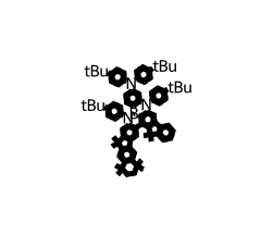 CC(C)(C)c1ccc(N2B3c4ccc(N(c5ccc(C(C)(C)C)cc5)c5ccc(C(C)(C)C)cc5)cc4N(c4ccc(C(C)(C)C)cc4)c4cc5c(c(c43)-c3cc4c(cc32)C(C)(C)c2cc3c(cc2-4)C(C)(C)CCC3(C)C)C(C)(C)c2ccccc2-5)cc1